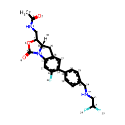 CC(=O)NCC1OC(=O)N2c3cc(F)c(-c4ccc(CNCC(F)F)cc4)cc3C[C@@H]12